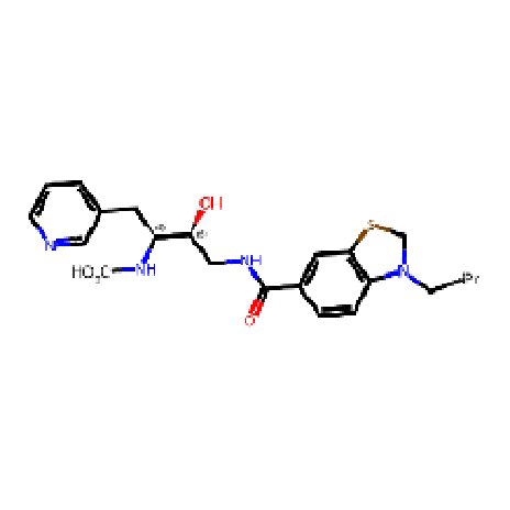 CC(C)CN1CSc2cc(C(=O)NC[C@H](O)[C@H](Cc3cccnc3)NC(=O)O)ccc21